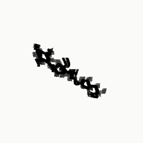 C[C@H](O)Cc1ccc(OCCNC2C3CN(Cc4cc(F)c(F)cc4F)C[C@@H]32)cc1